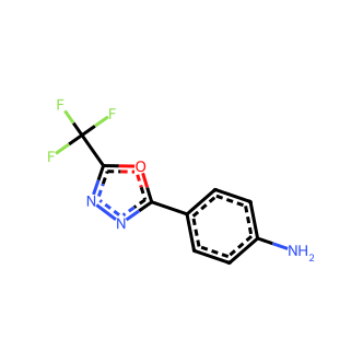 Nc1ccc(-c2nnc(C(F)(F)F)o2)cc1